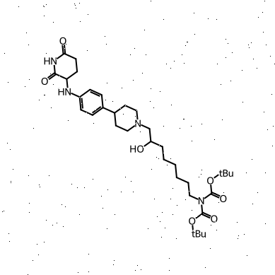 CC(C)(C)OC(=O)N(CCCCCCC(O)CN1CCC(c2ccc(NC3CCC(=O)NC3=O)cc2)CC1)C(=O)OC(C)(C)C